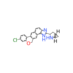 Clc1ccc2c(c1)OCc1cc3c(ccc4nc(C5C[C@H]6C[C@H]6N5)[nH]c43)cc1-2